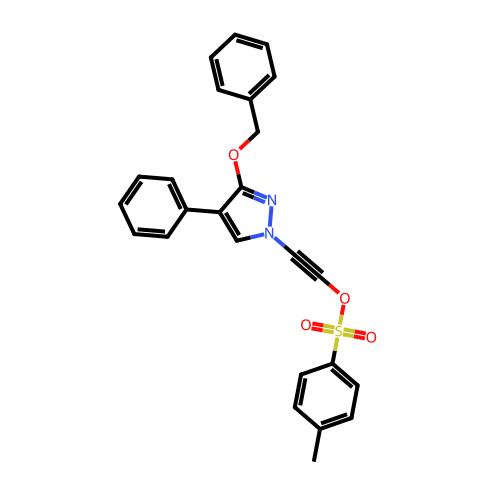 Cc1ccc(S(=O)(=O)OC#Cn2cc(-c3ccccc3)c(OCc3ccccc3)n2)cc1